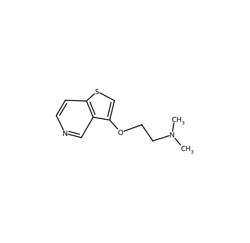 CN(C)CCOc1csc2ccncc12